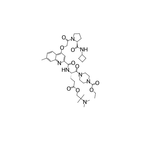 CCOC(=O)N1CCN(C(=O)[C@H](CCC(=O)OCC(C)(C)N(C)C)NC(=O)c2cc(OCC(=O)N3CCC[C@H]3C(=O)NC3CCC3)c3ccc(C)cc3n2)CC1